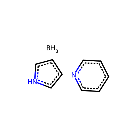 B.c1cc[nH]c1.c1ccncc1